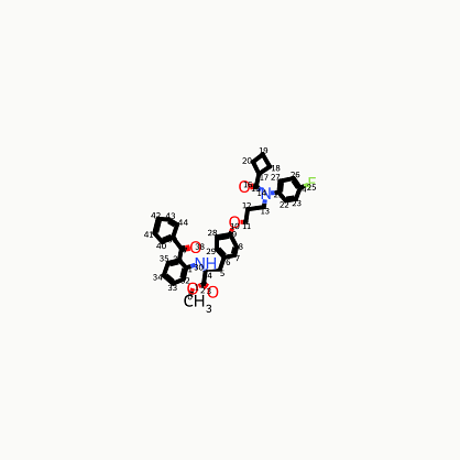 COC(=O)[C@H](Cc1ccc(OCCCN(C(=O)C2CCC2)c2ccc(F)cc2)cc1)Nc1ccccc1C(=O)c1ccccc1